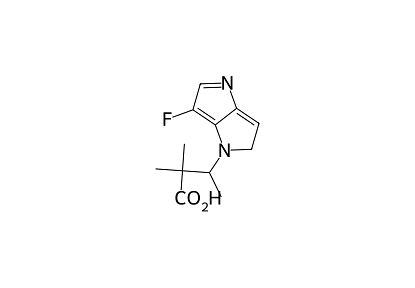 CC(N1CC=C2N=CC(F)=C21)C(C)(C)C(=O)O